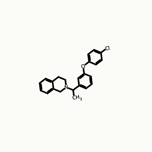 CC(c1cccc(Oc2ccc(Cl)cc2)c1)N1CCc2ccccc2C1